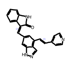 O=C1Nc2ccccc2/C1=C/c1cc(/C=C/c2ccncc2)c2cn[nH]c2c1